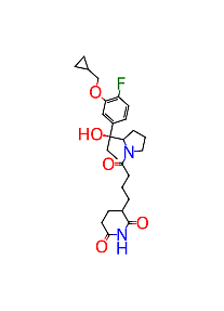 CC[C@](O)(c1ccc(F)c(OCC2CC2)c1)C1CCCN1C(=O)CCCC1CCC(=O)NC1=O